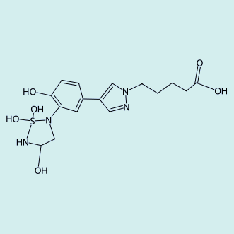 O=C(O)CCCCn1cc(-c2ccc(O)c(N3CC(O)NS3(O)O)c2)cn1